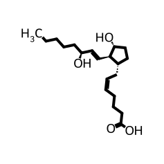 CCCCC[C@H](O)/C=C/[C@@H]1[C@@H](C/C=C\CCCC(=O)O)CC[C@H]1O